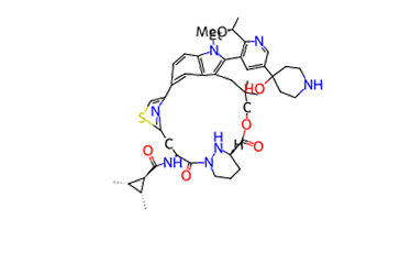 CCn1c(-c2cc(C3(O)CCNCC3)cnc2[C@H](C)OC)c2c3cc(ccc31)-c1csc(n1)C[C@H](NC(=O)[C@H]1[C@H](C)[C@@H]1C)C(=O)N1CCC[C@H](N1)C(=O)OCC(C)(C)C2